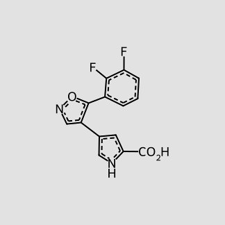 O=C(O)c1cc(-c2cnoc2-c2cccc(F)c2F)c[nH]1